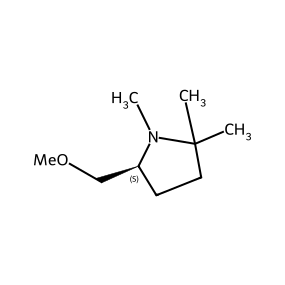 COC[C@@H]1CCC(C)(C)N1C